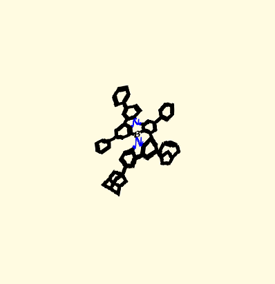 c1ccc(-c2cc3c4c(c2)-n2c5ccc(-c6ccccc6)cc5c5cc(-c6ccccc6)cc(c52)B4n2c4ccc(C56CC7CC8CC(C5)C87C6)cc4c4cc(C56CCC(CC7CC(C7)C5)C6)cc-3c42)cc1